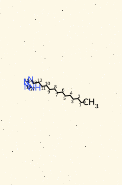 CCCCCCCCCCCCCc1nnn[nH]1